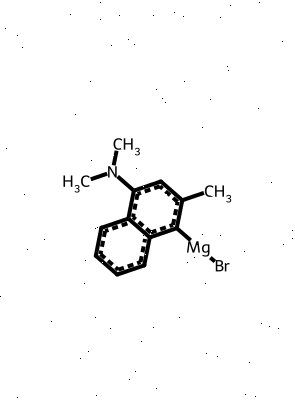 Cc1cc(N(C)C)c2ccccc2[c]1[Mg][Br]